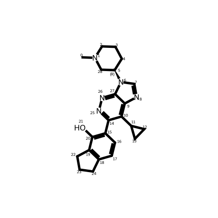 CN1CCC[C@@H](n2cnc3c(C4CC4)c(-c4ccc5c(c4O)CCC5)nnc32)C1